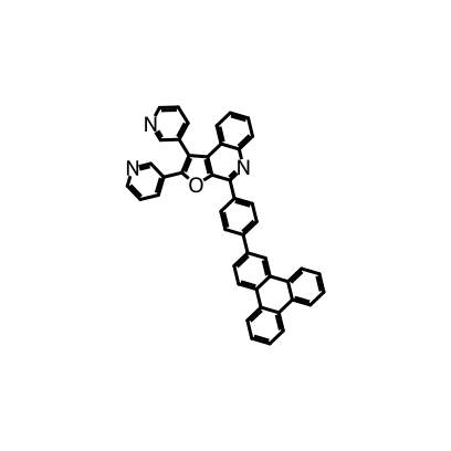 c1cncc(-c2oc3c(-c4ccc(-c5ccc6c7ccccc7c7ccccc7c6c5)cc4)nc4ccccc4c3c2-c2cccnc2)c1